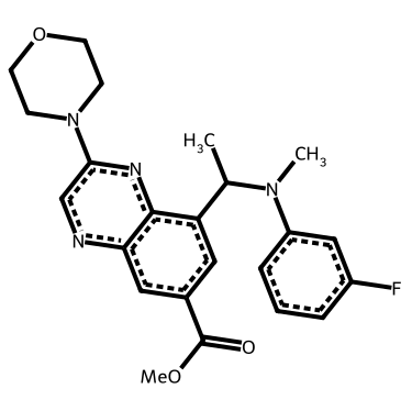 COC(=O)c1cc(C(C)N(C)c2cccc(F)c2)c2nc(N3CCOCC3)cnc2c1